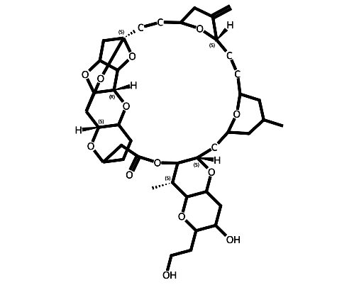 C=C1CC2CC[C@@]34CC5OC6C(O3)[C@H]3OC(CCC3O[C@H]6C5O4)CC(=O)OC3[C@@H](C)C4OC(CCO)C(O)CC4O[C@H]3CC3CC(C)CC(CC[C@@H]1O2)O3